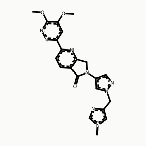 COc1cc(-c2ccc3c(n2)CN(c2cnn(Cc4cn(C)cn4)c2)C3=O)nnc1OC